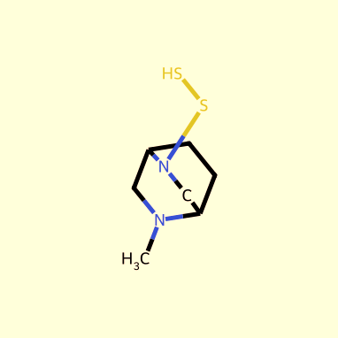 CN1CC2CCC1CN2SS